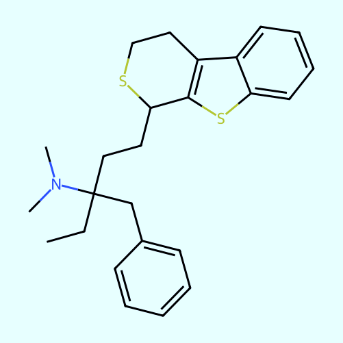 CCC(CCC1SCCc2c1sc1ccccc21)(Cc1ccccc1)N(C)C